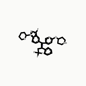 Fc1nn(C2CCCCO2)c2ccc(/C(=C(\CC(F)(F)F)c3ccccc3)c3ccc(OC4CCNCC4)nc3)cc12